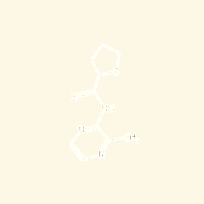 Cc1nccnc1NC(=S)C1CCCS1